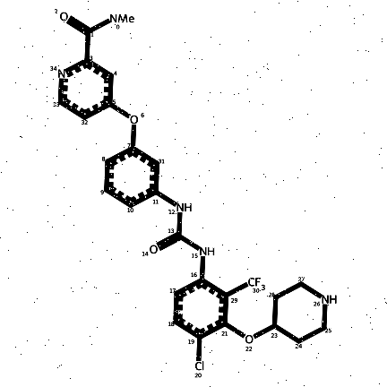 CNC(=O)c1cc(Oc2cccc(NC(=O)Nc3ccc(Cl)c(OC4CCNCC4)c3C(F)(F)F)c2)ccn1